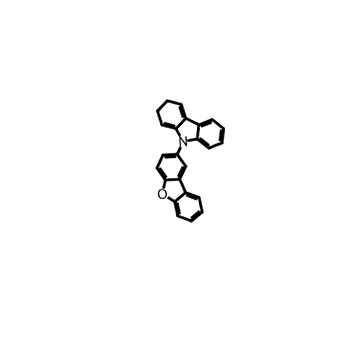 C1=c2c(n(-c3ccc4oc5ccccc5c4c3)c3ccccc23)=CCC1